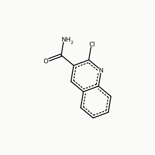 NC(=O)c1cc2ccccc2nc1Cl